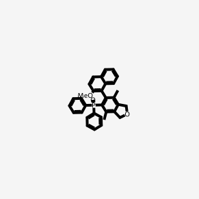 COc1ccc2ccccc2c1-c1c(C)c2c(c(C)c1P(=O)(c1ccccc1)c1ccccc1)COC2